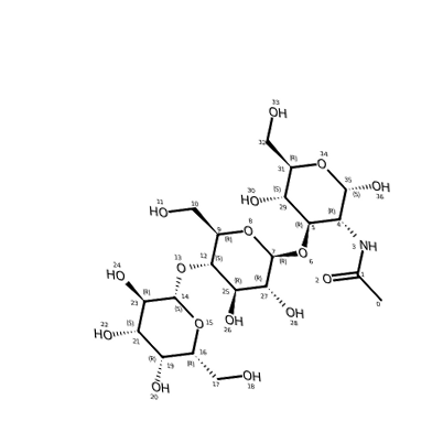 CC(=O)N[C@@H]1[C@@H](O[C@@H]2O[C@H](CO)[C@@H](O[C@@H]3O[C@H](CO)[C@H](O)[C@H](O)[C@H]3O)[C@H](O)[C@H]2O)[C@H](O)[C@@H](CO)O[C@@H]1O